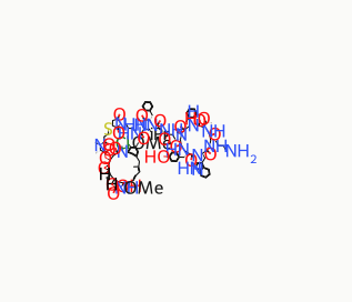 COc1cc2cc(c1Cl)N(C)C(=O)C[C@H](OC(=O)[C@H](C)N(C)C(=O)CCSC1CC(=O)N(CCCNC(=O)[C@H](CC(C)C)NC(=O)[C@H](Cc3ccccc3)NC(=O)CNC(=O)CC[C@H]3C(=O)N[C@@H](Cc4ccc(O)cc4)C(=O)N[C@H](Cc4c[nH]c5ccccc45)C(=O)N[C@@H](CCCCN)C(=O)N[C@@H]([C@@H](C)O)C(=O)N[C@@H](Cc4ccccc4)C(=O)N3C)C1=O)[C@]1(C)O[C@H]1[C@H](C)[C@@H]1C[C@@](O)(NC(=O)O1)[C@H](OC)/C=C/C=C(\C)C2